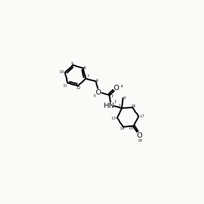 CC1(NC(=O)OCc2ccccc2)CCC(=O)CC1